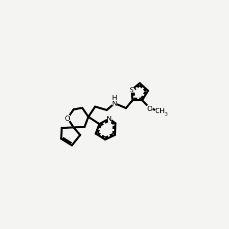 COc1ccsc1CNCCC1(c2ccccn2)CCOC2(CC=CC2)C1